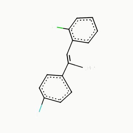 O=C/C(=C\c1ccccc1Cl)c1ccc(F)cc1